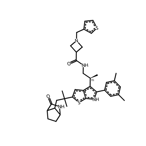 Cc1cc(C)cc(-c2[nH]c3sc(C(C)(C)CC4C5CCC4C(=O)N5)cc3c2[C@H](C)CNC(=O)C2CN(Cc3ccsc3)C2)c1